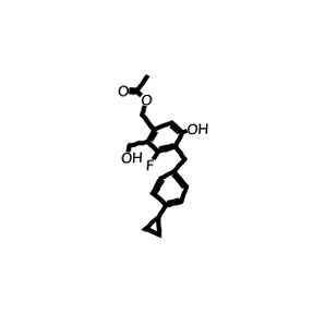 CC(=O)OCc1cc(O)c(Cc2ccc(C3CC3)cc2)c(F)c1CO